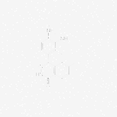 Cc1c(-c2n[nH]c(=O)c3ccc(F)cc23)ccc(N)c1N